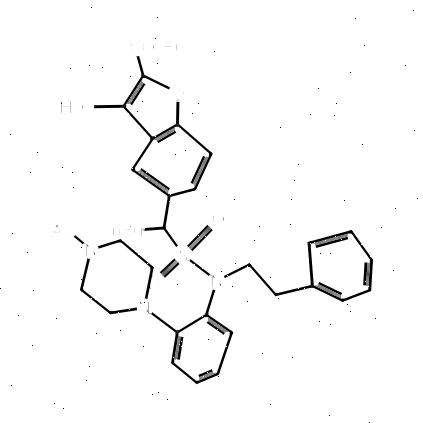 CCCCC(c1ccc2oc(C(=O)OCC)c(C)c2c1)S(=O)(=O)N(CCc1ccccc1)c1ccccc1N1CCN(C(C)=O)CC1